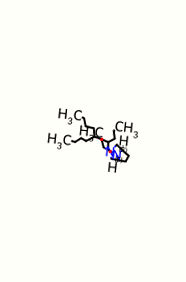 CCCCC(CCCC)CCN1C[C@H]2CC[C@@H](C1)N2CC(CC)CCC